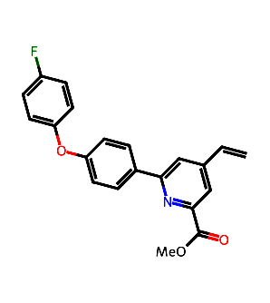 C=Cc1cc(C(=O)OC)nc(-c2ccc(Oc3ccc(F)cc3)cc2)c1